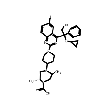 C[C@@H]1CN(C2CCN(c3nc(C(CO)(OC4CC4)c4ccccc4)c4cc(I)ccc4n3)CC2)[C@@H](C)CN1C(=O)O